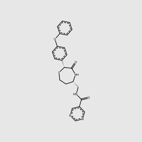 O=C(NC[C@@H]1CCS[C@H](c2ccc(Oc3ccccc3)cc2)C(=O)N1)c1cncnc1